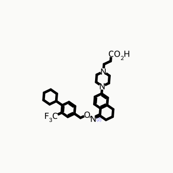 O=C(O)CCN1CCN(c2ccc3c(c2)CCC/C3=N/OCc2ccc(C3CCCCC3)c(C(F)(F)F)c2)CC1